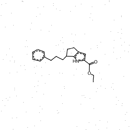 CCOC(=O)c1cc2c([nH]1)C(CCCc1ccccc1)CC2